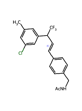 CC(=O)NCc1ccc(/C=C/C(c2cc(C)cc(Cl)c2)C(F)(F)F)cc1